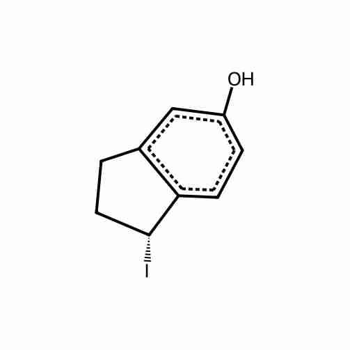 Oc1ccc2c(c1)CC[C@H]2I